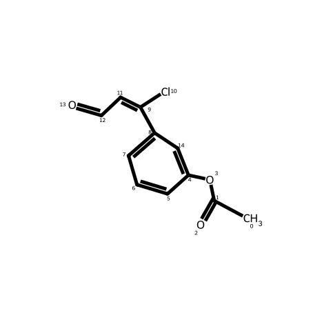 CC(=O)Oc1cccc(/C(Cl)=C\C=O)c1